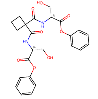 O=C(Oc1ccccc1)[C@@H](CO)NC(=O)C1(C(=O)N[C@H](CO)C(=O)Oc2ccccc2)CCC1